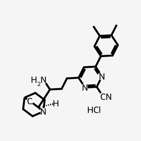 Cc1ccc(-c2cc(CCC(N)[C@@H]3CC4CCN3CC4)nc(C#N)n2)cc1C.Cl